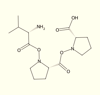 CC(C)[C@H](N)C(=O)ON1CCC[C@H]1C(=O)ON1CCC[C@H]1C(=O)O